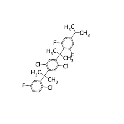 CC(C)c1cc(F)c(C(C)(C)c2cc(Cl)c(C(C)(C)c3cc(F)ccc3Cl)cc2Cl)c(F)c1